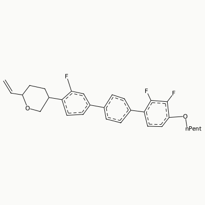 C=CC1CCC(c2ccc(-c3ccc(-c4ccc(OCCCCC)c(F)c4F)cc3)cc2F)CO1